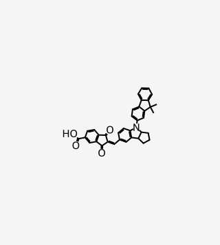 CC1(C)c2ccccc2-c2ccc(N3c4ccc(C=C5C(=O)c6ccc(C(=O)O)cc6C5=O)cc4C4CCCC43)cc21